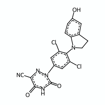 N#Cc1nn(-c2cc(Cl)c(N3CCc4cc(O)ccc43)c(Cl)c2)c(=O)[nH]c1=O